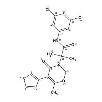 CC1=C(c2ccsc2)C(=O)N(C(C)(C)C(=O)Nc2cc(Cl)cc(Cl)c2)CO1